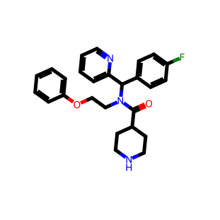 O=C(C1CCNCC1)N(CCOc1ccccc1)C(c1ccc(F)cc1)c1ccccn1